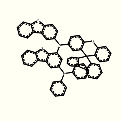 c1ccc(N(c2ccccc2)c2cc(N(c3ccc4c(c3)C3(c5ccccc5O4)c4ccccc4-c4ccccc43)c3ccc4oc5ccccc5c4c3)c3sc4ccccc4c3c2)cc1